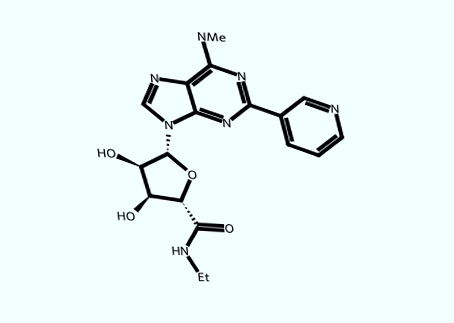 CCNC(=O)[C@H]1O[C@@H](n2cnc3c(NC)nc(-c4cccnc4)nc32)[C@H](O)[C@@H]1O